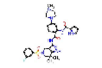 CN1CCN(c2ccc(C(=O)Nc3n[nH]c4c3CN(S(=O)(=O)c3cccc(F)c3)CC4(C)C)c(NC(=O)c3ccc[nH]3)c2)CC1